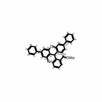 COC(=O)c1ccccc1C1c2ccc(-c3ccccc3)cc2Oc2cc(-c3ccccc3)cc(N)c21